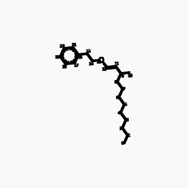 CCCCCCCCCC(C)C=COCCc1ccccc1